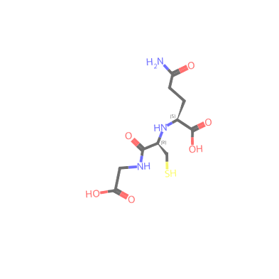 NC(=O)CC[C@H](N[C@@H](CS)C(=O)NCC(=O)O)C(=O)O